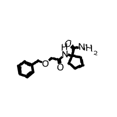 NC(=O)C1(NC(=O)COCc2ccccc2)CCCC1